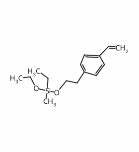 C=Cc1ccc(CCO[Si](C)(CC)OCC)cc1